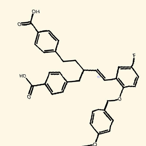 COc1ccc(COc2ccc(F)cc2/C=C/C(CCc2ccc(C(=O)O)cc2)Cc2ccc(C(=O)O)cc2)cc1